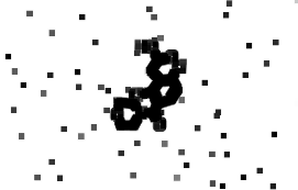 O=C(O)Cc1c(Cl)ccc(C(=O)N2CCOCC2)c1Cl